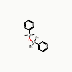 C[CH2][Ge]([CH2]C)([O][Ge]([CH3])([CH3])[c]1ccccc1)[c]1ccccc1